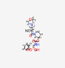 CC1(C)CN(C(C)(C)C=C(C#N)C(=O)N2CCCCC(OC(=O)N[C@@H](Cc3ccccc3)B(O)O)C2)CCO1